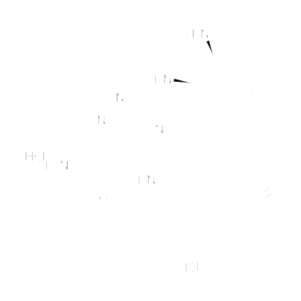 Cc1cc(Nc2nc(N[C@@H]3CCOC[C@@H]3N)nnc2C(N)=O)cc2ccsc12.Cl.Cl